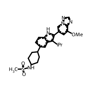 COc1cc(-c2[nH]c3ccc(C4CCC(NS(C)(=O)=O)CC4)cc3c2C(C)C)cn2ncnc12